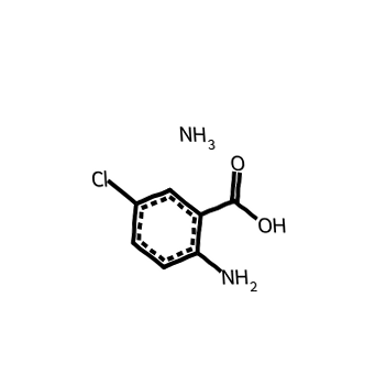 N.Nc1ccc(Cl)cc1C(=O)O